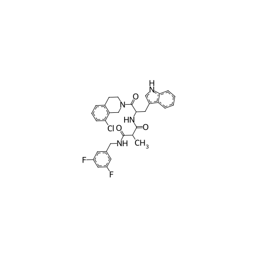 CC(C(=O)NCc1cc(F)cc(F)c1)C(=O)NC(Cc1c[nH]c2ccccc12)C(=O)N1CCc2cccc(Cl)c2C1